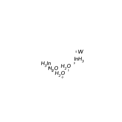 O.O.O.[InH3].[InH3].[W]